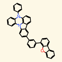 c1ccc(N2c3ccccc3-n3c4ccc(-c5cccc(-c6cccc7c6oc6ccccc67)c5)cc4c4cccc2c43)cc1